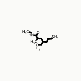 CCCCC(CC)CC(C)C(=O)NCC